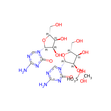 CO.Nc1ncn([C@@H]2O[C@H](CO)[C@@H](O)[C@H]2O)c(=O)n1.Nc1ncn([C@@H]2O[C@H](CO)[C@@H](O)[C@H]2O)c(=O)n1.O=S(=O)(O)O